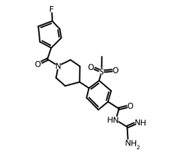 CS(=O)(=O)c1cc(C(=O)NC(=N)N)ccc1C1CCN(C(=O)c2ccc(F)cc2)CC1